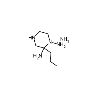 CCCC1(N)CNCCN1N.N